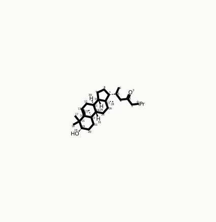 CC(C)CC(=O)CC(C)[C@H]1CC[C@H]2[C@@H]3CC=C4C(C)(C)[C@@H](O)CC[C@]4(C)[C@H]3CC[C@]12C